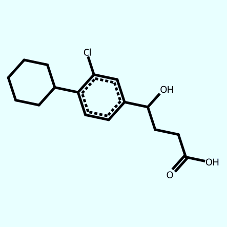 O=C(O)CCC(O)c1ccc(C2CCCCC2)c(Cl)c1